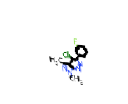 Cc1nn(C)c2nnc(-c3cccc(F)c3)c(Cl)c12